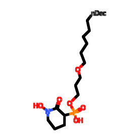 CCCCCCCCCCCCCCCCOCCCOP(=O)(O)C1CCCN(O)C1=O